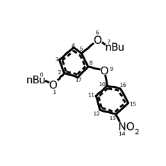 CCCCOc1ccc(OCCCC)c(Oc2ccc([N+](=O)[O-])cc2)c1